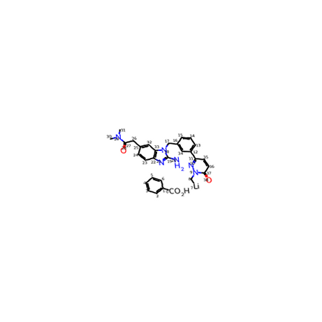 O=C(O)c1ccccc1.[Li][CH2]n1nc(-c2cccc(Cn3c(N)nc4ccc(CC(=O)N(C)C)cc43)c2)ccc1=O